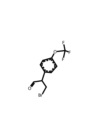 O=CC(CBr)c1ccc(OC(F)(F)F)cc1